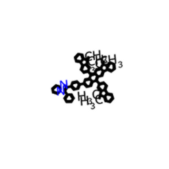 CC1(C)c2ccccc2-c2ccc(-c3c4ccc(-c5ccc(-c6nc7ccccn7c6-c6ccccc6)cc5)cc4c(-c4ccc5c(c4)C(C)(C)c4ccccc4-5)c4cc5c(cc34)-c3ccccc3C5(C)C)cc21